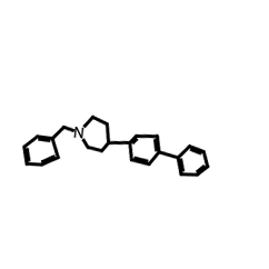 c1ccc(CN2CCC(c3ccc(-c4ccccc4)cc3)CC2)cc1